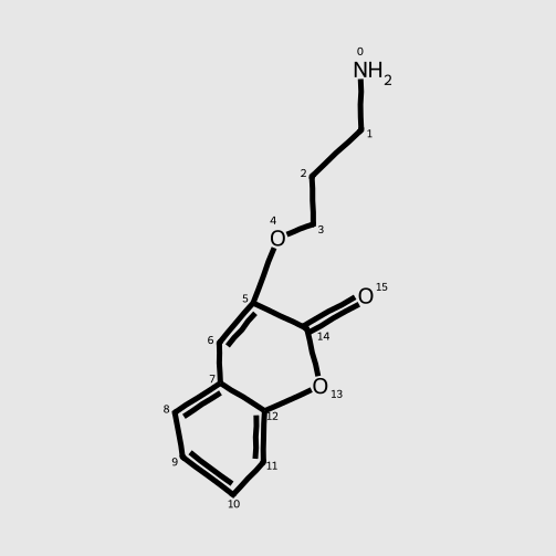 NCCCOc1cc2ccccc2oc1=O